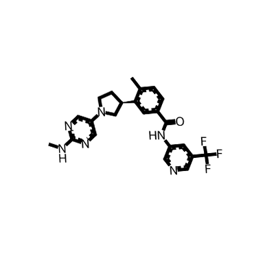 CNc1ncc(N2CC[C@@H](c3cc(C(=O)Nc4cncc(C(F)(F)F)c4)ccc3C)C2)cn1